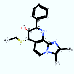 CCS[C@H]1c2ccn3c(C)c(C)nc3c2N[C@H](c2ccccc2)[C@H]1O